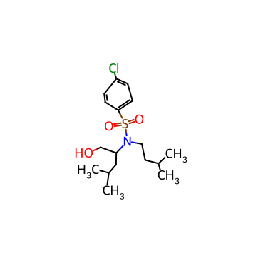 CC(C)CCN(C(CO)CC(C)C)S(=O)(=O)c1ccc(Cl)cc1